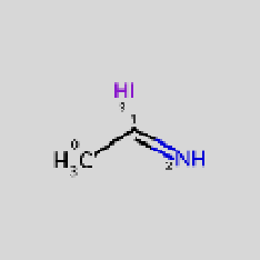 CC=N.I